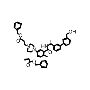 C=CC(=O)OCc1ccccc1.Cc1ccc(N2CCN(CCC(=O)OCc3ccccc3)CC2)cc1C(=O)N[C@H](C)c1cccc(-c2cccc(CO)c2)c1